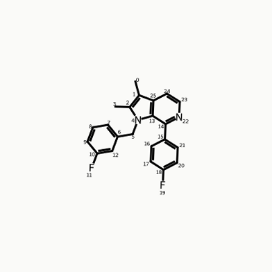 Cc1c(C)n(Cc2cccc(F)c2)c2c(-c3ccc(F)cc3)nccc12